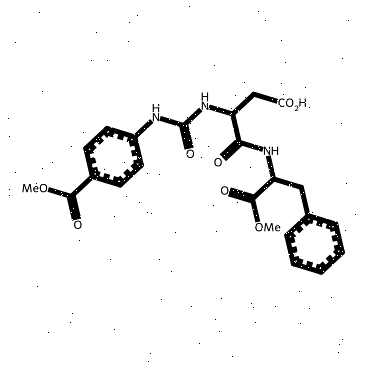 COC(=O)c1ccc(NC(=O)NC(CC(=O)O)C(=O)NC(Cc2ccccc2)C(=O)OC)cc1